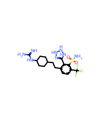 N=C(N)NC1CCC(CCc2ccc(C(F)(F)F)c(S(N)(=O)=O)c2C2=NNNN2)CC1